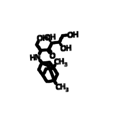 CC12CC3CC(C)(C1)CC(NC(CO)C(=O)[C@H](O)[C@H](O)CO)(C3)C2